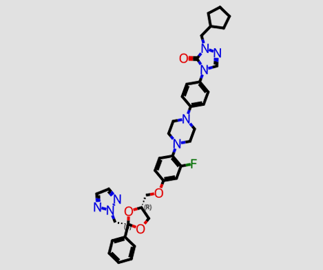 O=c1n(-c2ccc(N3CCN(c4ccc(OC[C@@H]5CO[C@@](Cn6nccn6)(c6ccccc6)O5)cc4F)CC3)cc2)cnn1CC1CCCC1